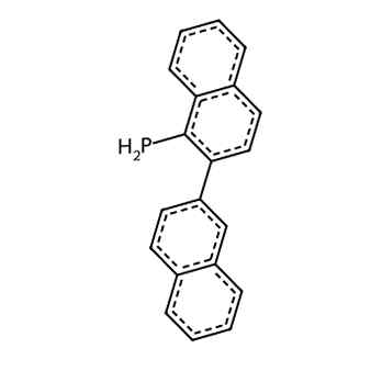 Pc1c(-c2ccc3ccccc3c2)ccc2ccccc12